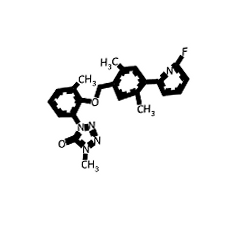 Cc1cc(-c2cccc(F)n2)c(C)cc1COc1c(C)cccc1-n1nnn(C)c1=O